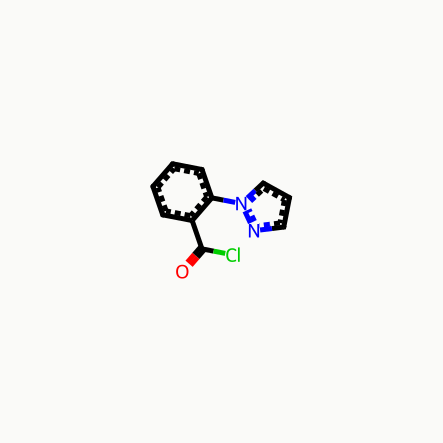 O=C(Cl)c1ccccc1-n1cccn1